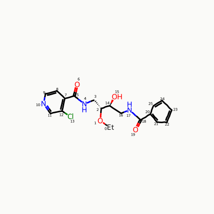 CCO[C@H](CNC(=O)c1ccncc1Cl)[C@@H](O)CNC(=O)c1ccccc1